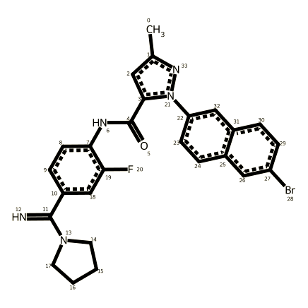 Cc1cc(C(=O)Nc2ccc(C(=N)N3CCCC3)cc2F)n(-c2ccc3cc(Br)ccc3c2)n1